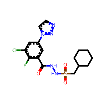 O=C(NNS(=O)(=O)CC1CCCCC1)c1cc(-n2ccnn2)cc(Cl)c1F